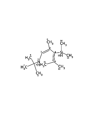 CC(=CNC(C)(C)C)C(=C(C)C)[SiH](C)C